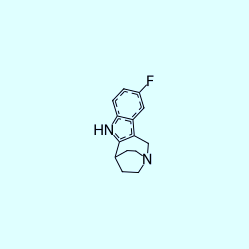 Fc1ccc2[nH]c3c(c2c1)CN1CCC3CC1